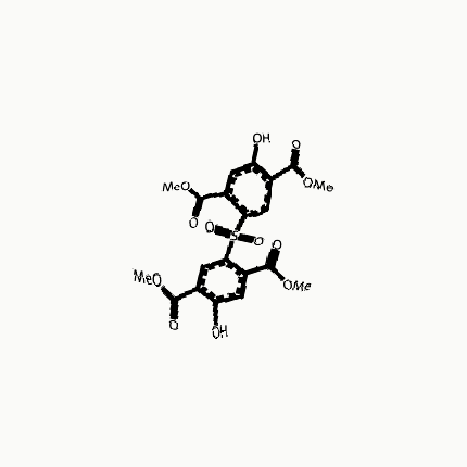 COC(=O)c1cc(S(=O)(=O)c2cc(C(=O)OC)c(O)cc2C(=O)OC)c(C(=O)OC)cc1O